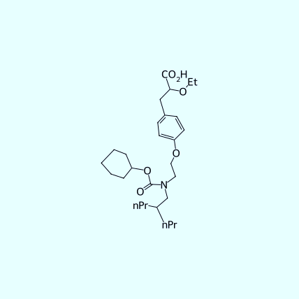 CCCC(CCC)CN(CCOc1ccc(CC(OCC)C(=O)O)cc1)C(=O)OC1CCCCC1